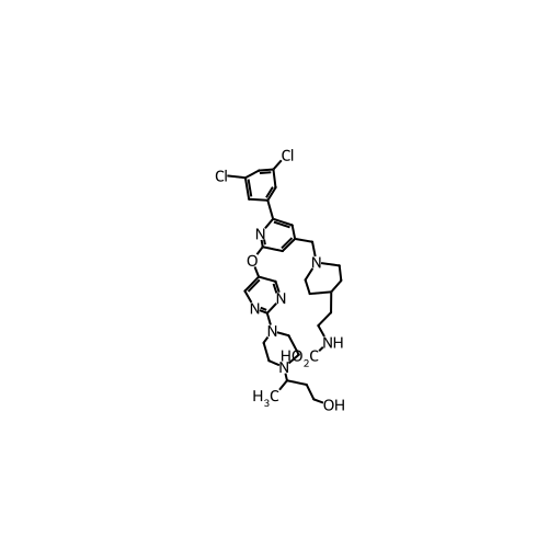 CC(CCO)N1CCN(c2ncc(Oc3cc(CN4CCC(CCNC(=O)O)CC4)cc(-c4cc(Cl)cc(Cl)c4)n3)cn2)CC1